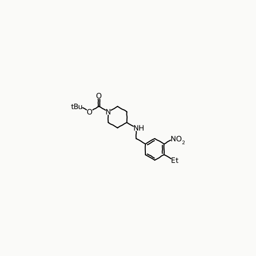 CCc1ccc(CNC2CCN(C(=O)OC(C)(C)C)CC2)cc1[N+](=O)[O-]